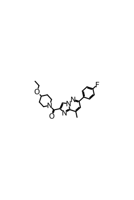 CCOC1CCN(C(=O)c2cn3nc(-c4ccc(F)cc4)cc(C)c3n2)CC1